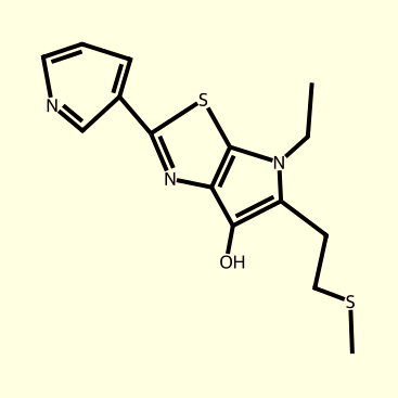 CCn1c(CCSC)c(O)c2nc(-c3cccnc3)sc21